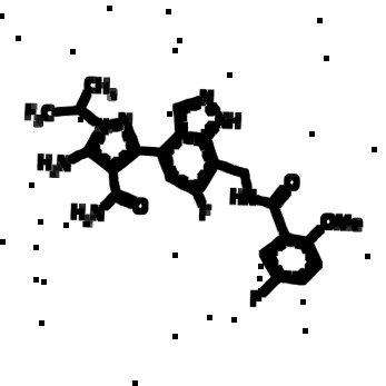 COc1ccc(F)cc1C(=O)NCc1c(F)cc(-c2nn(C(C)C(F)(F)F)c(N)c2C(N)=O)c2cn[nH]c12